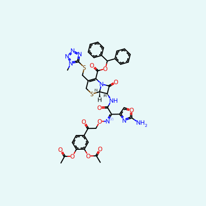 CC(=O)Oc1ccc(C(=O)CO/N=C(\C(=O)N[C@@H]2C(=O)N3C(C(=O)OC(c4ccccc4)c4ccccc4)=C(CSc4nnnn4C)CS[C@@H]23)c2coc(N)n2)cc1OC(C)=O